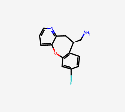 NC[C@@H]1Cc2ncccc2Oc2cc(F)ccc21